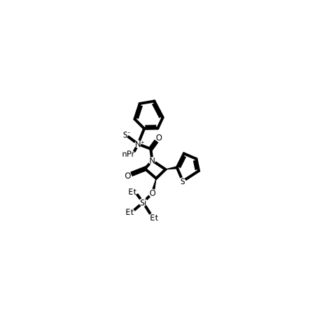 CCC[N+]([S-])(C(=O)N1C(=O)[C@H](O[Si](CC)(CC)CC)[C@@H]1c1cccs1)c1ccccc1